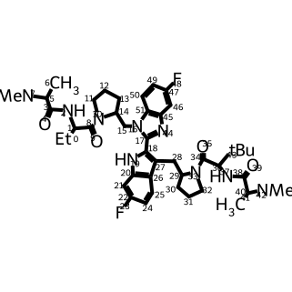 CCC(NC(=O)C(C)NC)C(=O)N1CCCC1Cn1c(-c2[nH]c3cc(F)ccc3c2CC2CCCN2C(=O)C(NC(=O)C(C)NC)C(C)(C)C)nc2cc(F)ccc21